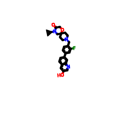 O=C1COC2(CCN(Cc3ccc(-c4ccc5cc(O)cnc5c4)cc3F)CC2)CN1C1CC1